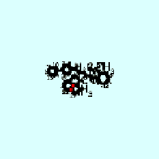 C[C@H](CC(Cc1ccc(-c2ccccc2)cc1)N(Cc1ccccc1)Cc1ccccc1)C(=O)N(C)[C@H](C)C1C=CC=CC=C1